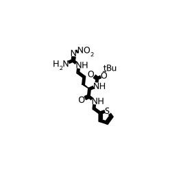 CC(C)(C)OC(=O)N[C@H](CCCN/C(N)=N\[N+](=O)[O-])C(=O)NCc1cccs1